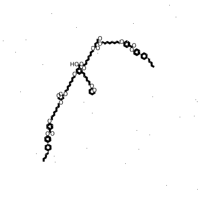 CCCCC[C@H]1CC[C@H](c2ccc(OC(=O)c3ccc(OCCCCCCCCOC(C=O)CC(=O)OCCCCCCCCOc4cc(CCCCCCOC5CCCCO5)c(OCCCCCCCCOC(=O)CC(C=O)OCCCCCCCCOc5ccc(C(=O)Oc6ccc([C@H]7CC[C@H](CCCCC)CC7)cc6)cc5)c(C(=O)O)c4)cc3)cc2)CC1